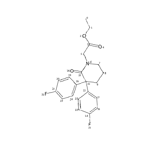 CCOC(=O)CN1CCCC(c2ccc(F)cc2)(c2ccc(F)cc2)C1=O